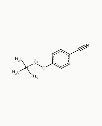 C[N+](C)(C)[SiH2]Oc1ccc(C#N)cc1